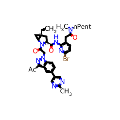 C=C[C@]12CC1N(C(=O)Cn1nc(C(C)=O)c3cc(-c4cnc(C)nc4)ccc31)[C@H](C(=O)Nc1nc(Br)ccc1CC(=O)N(C)CCCCC)C2